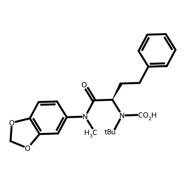 CN(C(=O)[C@@H](CCc1ccccc1)N(C(=O)O)C(C)(C)C)c1ccc2c(c1)OCO2